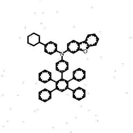 c1ccc(-c2cc(-c3ccccc3)c(-c3ccccc3)c(-c3ccc(N(c4ccc(C5CCCCC5)cc4)c4ccc5c(c4)oc4ccccc45)cc3)c2-c2ccccc2)cc1